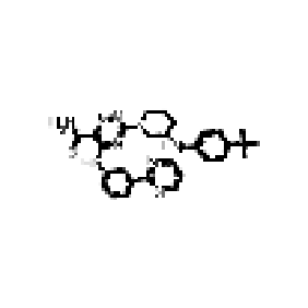 CC(C)(C)c1ccc(N[C@@H]2CCCN(c3nnc(C(N)=O)c(Nc4cccc(-c5ncccn5)c4)n3)C2)cc1